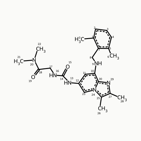 Cc1cccc(C)c1CNc1cc(NC(=O)NCC(=O)N(C)C)cn2c(C)c(C)nc12